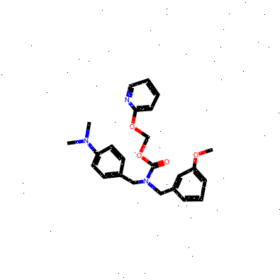 COc1cccc(CN(Cc2ccc(N(C)C)cc2)C(=O)OCOc2ccccn2)c1